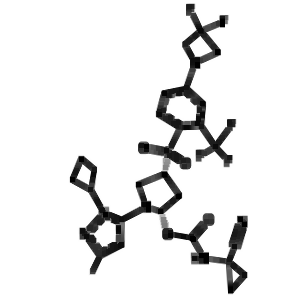 Cc1cc(N2C[C@H](S(=O)(=O)c3ccc(N4CC(F)(F)C4)cc3C(F)(F)F)C[C@@H]2OC(=O)NC2(C#N)CC2)n(C2CCC2)n1